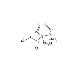 CCOC(=O)C1(C(=O)CC(C)=O)C=CC=CC1N